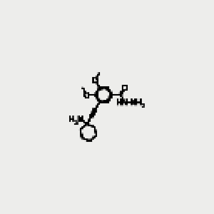 COc1cc(C(=O)NN)cc(C#CC2(N)CCCCC2)c1OC